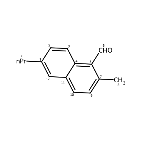 CCCc1ccc2c(C=O)c(C)ccc2c1